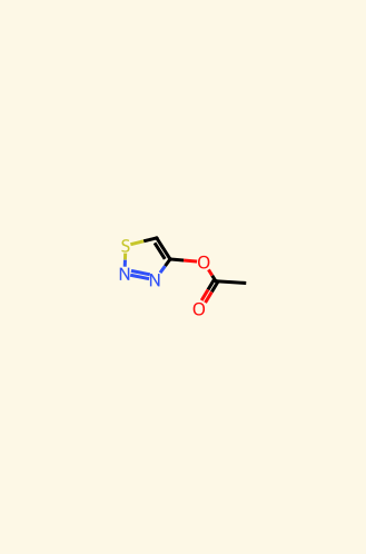 CC(=O)Oc1csnn1